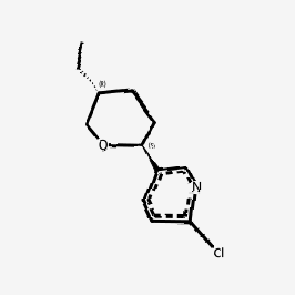 CC[C@@H]1CC[C@@H](c2ccc(Cl)nc2)OC1